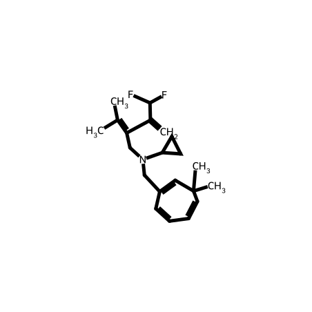 C=C(C(CN(CC1=CC(C)(C)C=CC=C1)C1CC1)=C(C)C)C(F)F